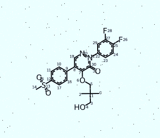 CC(C)(CO)COc1c(-c2ccc(S(C)(=O)=O)cc2)cnn(-c2ccc(F)c(F)c2)c1=O